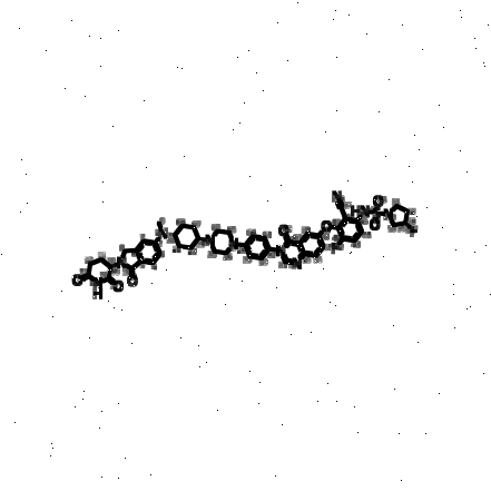 CN(c1ccc2c(c1)CN([C@@H]1CCC(=O)NC1=O)C2=O)[C@H]1CC[C@H](N2CCN(c3ccc(-n4cnc5ccc(Oc6c(F)ccc(NS(=O)(=O)N7CC[C@@H](F)C7)c6C#N)cc5c4=O)cc3)CC2)CC1